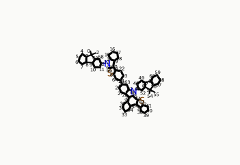 CC1(C)c2ccccc2-c2ccc(-n3c4ccccc4c4c5ccc(-c6ccc7c8c9ccccc9c9c%10ccccc%10sc9c8n(-c8ccc9c(c8)C(C)(C)c8ccccc8-9)c7c6)cc5sc43)cc21